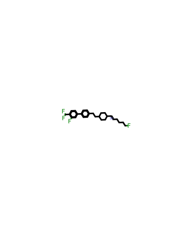 FCCCC/C=C/C1CCC(CCc2ccc(-c3ccc(C(F)F)c(F)c3)cc2)CC1